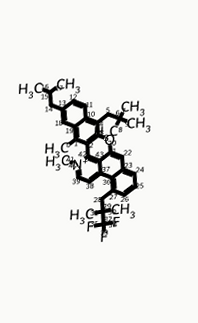 Cc1c2c(c(CC(C)(C)C)c3ccc(CC(C)C)cc13)Oc1cc3cccc(CC(C)(C)C(F)(F)F)c3c3cc[n+](C)c-2c13